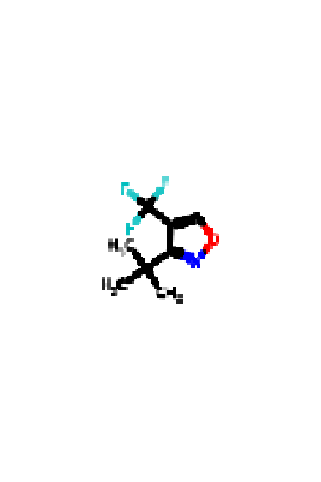 CC(C)(C)c1nocc1C(F)(F)F